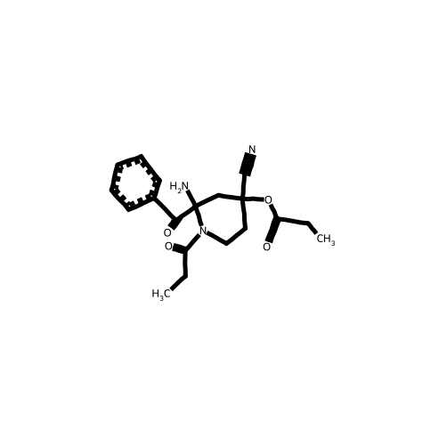 CCC(=O)OC1(C#N)CCN(C(=O)CC)C(N)(C(=O)c2ccccc2)C1